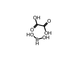 O=C(O)C(=O)O.OBO